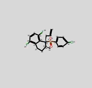 C=CC[C@]1(S(=O)(=O)c2ccc(Cl)cc2)c2c(F)ccc(F)c2CC[C@@H]1C